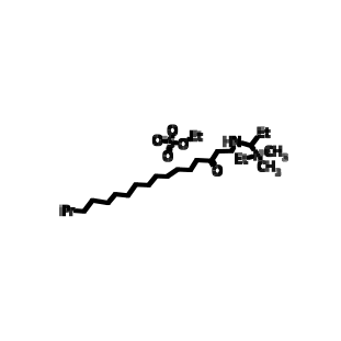 CCC(NCCC(=O)CCCCCCCCCCCCC(C)C)[N+](C)(C)CC.CCOS(=O)(=O)[O-]